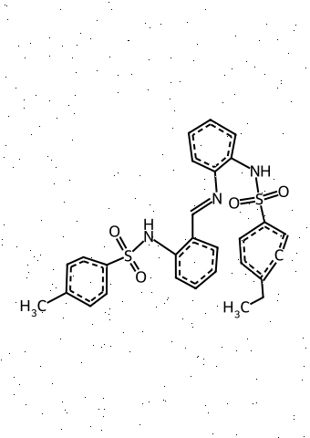 CCc1ccc(S(=O)(=O)Nc2ccccc2N=Cc2ccccc2NS(=O)(=O)c2ccc(C)cc2)cc1